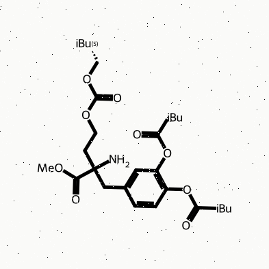 CCC(C)C(=O)Oc1ccc(CC(N)(CCOC(=O)OC[C@@H](C)CC)C(=O)OC)cc1OC(=O)C(C)CC